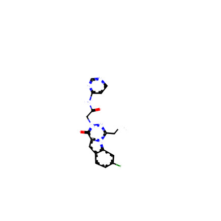 CCc1nn(CC(=O)Nc2ccncn2)c(=O)c2cc3ccc(F)cc3n12